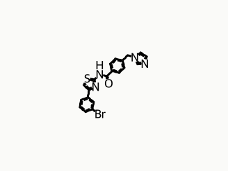 O=C(Nc1nc(-c2cccc(Br)c2)cs1)c1ccc(Cn2ccnc2)cc1